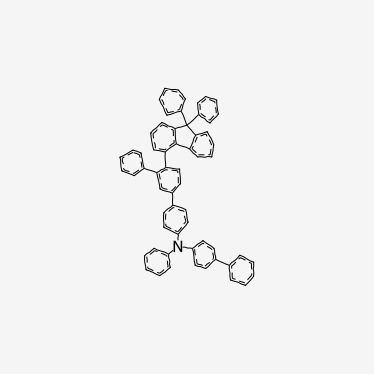 c1ccc(-c2ccc(N(c3ccccc3)c3ccc(-c4ccc(-c5cccc6c5-c5ccccc5C6(c5ccccc5)c5ccccc5)c(-c5ccccc5)c4)cc3)cc2)cc1